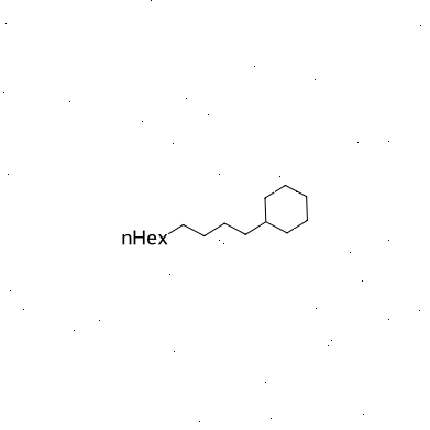 CCCCCCCCCCC1CCCCC1